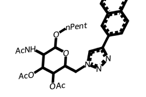 CCCCCOC1OC(Cn2cc(-c3ccc4ccccc4c3)nn2)C(OC(C)=O)C(OC(C)=O)C1NC(C)=O